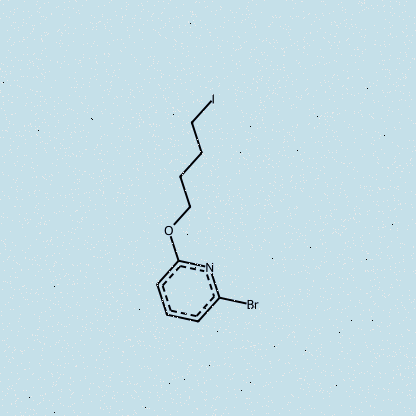 Brc1cccc(OCCCCI)n1